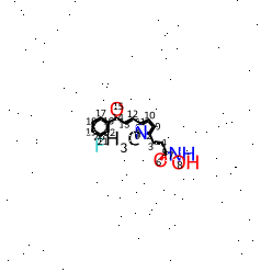 Cn1c(C=CC(=O)NO)ccc1C=CC(=O)c1cccc(F)c1